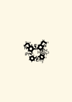 CC(C)P1c2ccccc2N(C)c2ccccc2[PH](C)(C(C)C)c2cc3ncccc3cc2N(C)c2cc3cccnc3cc21